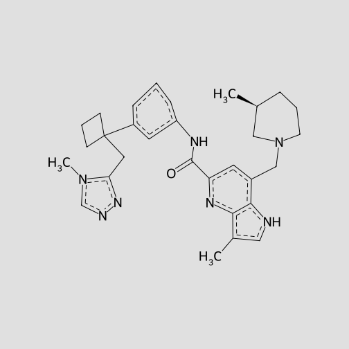 Cc1c[nH]c2c(CN3CCC[C@H](C)C3)cc(C(=O)Nc3cccc(C4(Cc5nncn5C)CCC4)c3)nc12